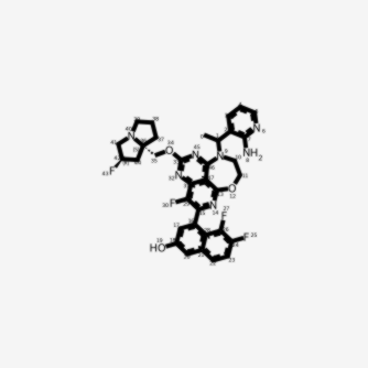 CC(c1cccnc1N)N1CCOc2nc(-c3cc(O)cc4ccc(F)c(F)c34)c(F)c3nc(OC[C@@]45CCCN4C[C@H](F)C5)nc1c23